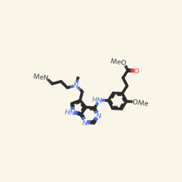 CNCCCN(C)Cc1c[nH]c2ncnc(Nc3ccc(OC)c(CCC(=O)OC)c3)c12